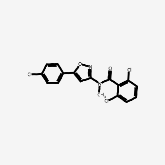 CN(C(=O)c1c(Cl)cccc1Cl)c1cc(-c2ccc(Cl)cc2)on1